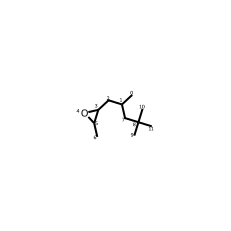 CC(CC1OC1C)CC(C)(C)C